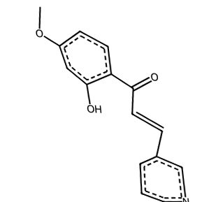 COc1ccc(C(=O)C=Cc2cccnc2)c(O)c1